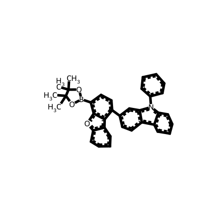 CC1(C)OB(c2ccc(-c3ccc4c5ccccc5n(-c5ccccc5)c4c3)c3c2oc2ccccc23)OC1(C)C